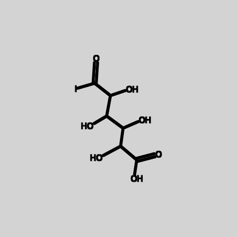 O=C(O)C(O)C(O)C(O)C(O)C(=O)I